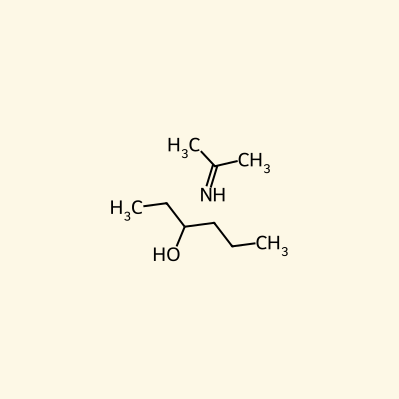 CC(C)=N.CCCC(O)CC